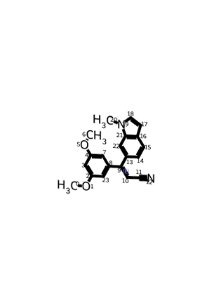 COc1cc(OC)cc(/C(=C/C#N)c2ccc3ccn(C)c3c2)c1